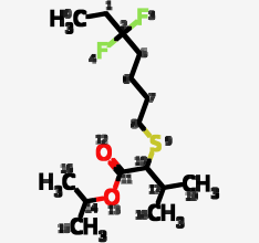 CCC(F)(F)CCCCSC(C(=O)OC(C)C)C(C)C